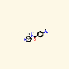 CN(C)c1ccc(C(=O)N[C@@H]2CN3CCC2CC3)cc1